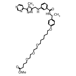 COC(=O)CCCOCCOCCOCCCCCCOc1ccc([C@@H](C)NC(=O)c2cccc(NCc3nnc(-c4ccncn4)n3C)c2)cc1